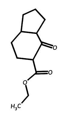 CCOC(=O)C1CCC2CCCC2C1=O